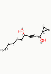 CCCCCCCCCCCC(O)C#CC(O)C1CC1